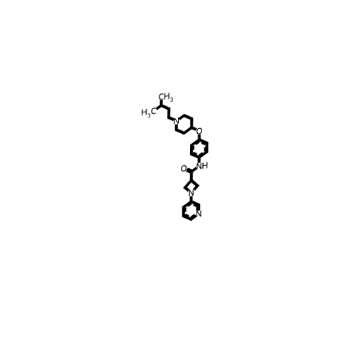 CC(C)CCN1CCC(Oc2ccc(NC(=O)C3CN(c4cccnc4)C3)cc2)CC1